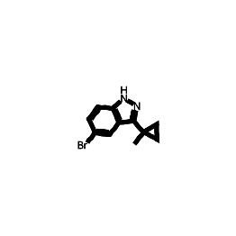 CC1(c2n[nH]c3ccc(Br)cc23)CC1